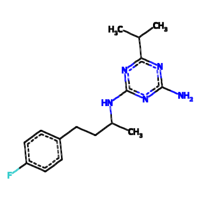 CC(CCc1ccc(F)cc1)Nc1nc(N)nc(C(C)C)n1